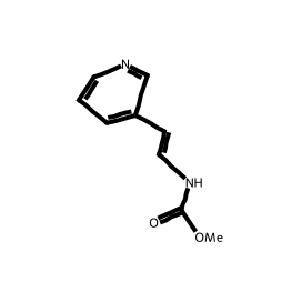 COC(=O)NC=Cc1cccnc1